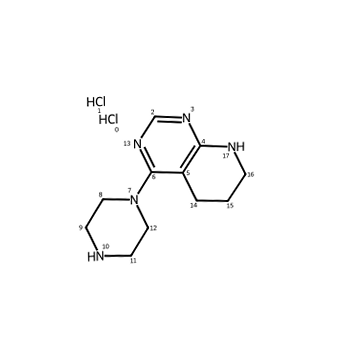 Cl.Cl.c1nc2c(c(N3CCNCC3)n1)CCCN2